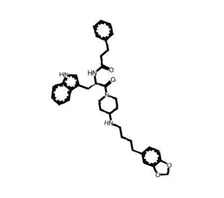 O=C(CCc1ccccc1)N[C@H](Cc1c[nH]c2ccccc12)C(=O)N1CCC(NCCCCc2ccc3c(c2)OCO3)CC1